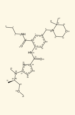 CCCNC(=O)c1cc(CN2CCOCC2(C)C)ccc1NC(=O)c1csc(N(C)[C@H](C)COC)n1